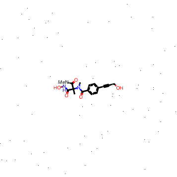 CNC(=O)C(C)(C(=O)NO)N(C)C(=O)c1ccc(C#CCO)cc1